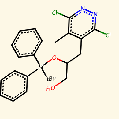 Cc1c(Cl)nnc(Cl)c1CC(CO)O[Si](c1ccccc1)(c1ccccc1)C(C)(C)C